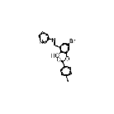 Cc1ccc(C(=O)Oc2cc(Br)cc(C=Nc3cccnc3)c2O)cc1